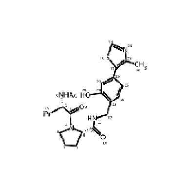 CC(=O)N[C@H](C(=O)N1CCC[C@H]1C(=O)NCc1ccc(-c2scnc2C)cc1O)C(C)C